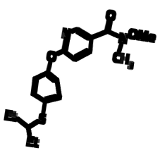 CCC(CC)Sc1ccc(Oc2ccc(C(=O)N(C)OC)cn2)cc1